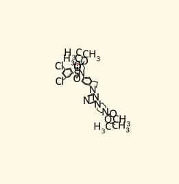 CC(C)(C)OC(=O)CN(c1ccc2c(c1)CCN2c1cncc(N2CCN(C(=O)OC(C)(C)C)CC2)n1)S(=O)(=O)c1cc(Cl)cc(Cl)c1